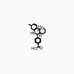 CC1C=CC2=C(C1)N[C@H](c1ccc(C(=O)O)cc1)[C@H]1CCCO[C@@H]21